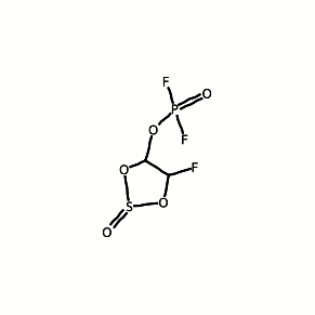 O=S1OC(F)C(OP(=O)(F)F)O1